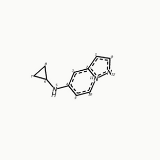 c1cc2cc(NC3CC3)ccn2n1